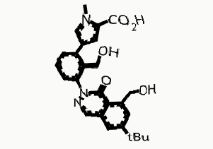 Cn1cc(-c2cccc(-n3ncc4cc(C(C)(C)C)cc(CO)c4c3=O)c2CO)cc1C(=O)O